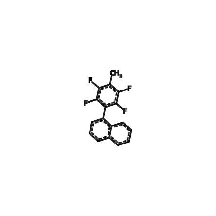 Cc1c(F)c(F)c(-c2cccc3ccccc23)c(F)c1F